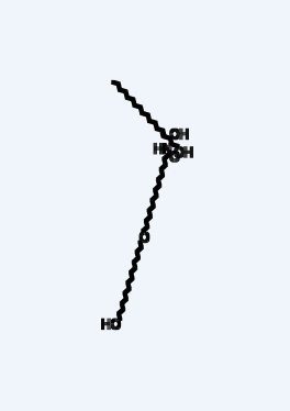 CCCCCCCCCCCCCC=CC(O)C(CO)NC(=O)CCCCCCCCCCCCCCCOCCCCCCCCCCCCCCCCO